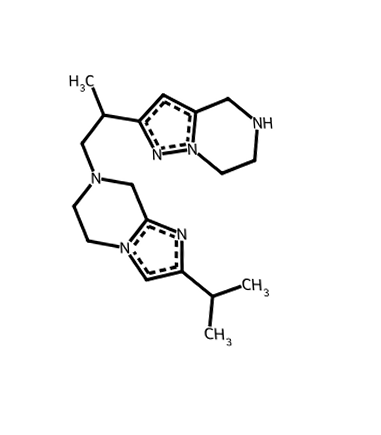 CC(C)c1cn2c(n1)CN(CC(C)c1cc3n(n1)CCNC3)CC2